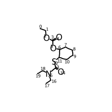 CCOC(=O)OC1CCCCC1SC(=O)N(CC)CC